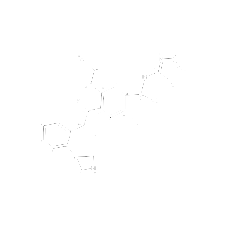 C[C@H](c1ccccc1C1CNC1)N(C)c1cc(F)c([S+]([O-])Nc2nccs2)cc1OC=O